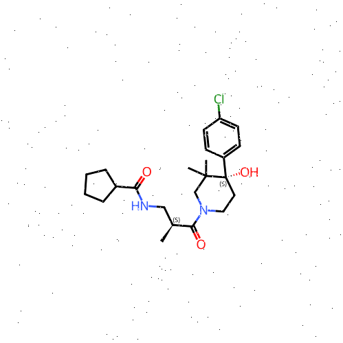 C[C@@H](CNC(=O)C1CCCC1)C(=O)N1CC[C@](O)(c2ccc(Cl)cc2)C(C)(C)C1